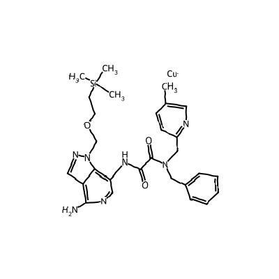 Cc1ccc(CN(Cc2ccccc2)C(=O)C(=O)Nc2cnc(N)c3cnn(COCC[Si](C)(C)C)c23)nc1.[Cu]